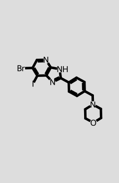 Brc1cnc2[nH]c(-c3ccc(CN4CCOCC4)cc3)nc2c1I